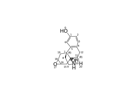 Oc1ccc2c(c1)[C@]13CCN[C@H](C2)[C@]1(O)CC1OC1C3